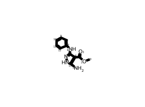 COC(=O)c1c(Nc2ccccc2)n[nH]c1N